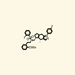 COc1ccccc1CCN(C[C@H]1CCC2=C1[C@@H](C)c1cnn(-c3ccc(F)cc3)c1C2)S(=O)(=O)c1ccccc1F